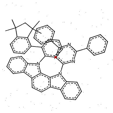 CC1(C)CC(C)(C)c2c(-c3ccccc3-n3c4ccccc4c4ccc5c6ccccc6n(-c6nc(-c7ccccc7)nc(-c7ccccc7)n6)c5c43)cccc21